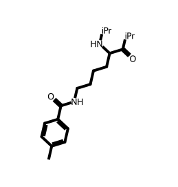 Cc1ccc(C(=O)NCCCCC(NC(C)C)C(=O)C(C)C)cc1